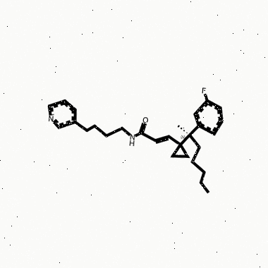 CCCCC[C@](C)(c1cccc(F)c1)C1(C=CC(=O)NCCCCc2cccnc2)CC1